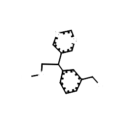 O=COCC(c1cncnc1)c1cccc(CO)c1